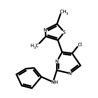 Cc1nc(C)c(-c2nc(Nc3ccccc3)ncc2Cl)s1